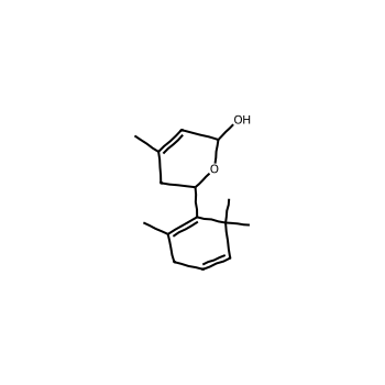 CC1=CC(O)OC(C2=C(C)CC=CC2(C)C)C1